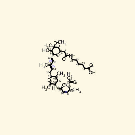 CO[C@@]1(C)C[C@@H](CC(=O)NCCCCCC(=O)O)O[C@H](/C=C/C(C)=C/C[C@@H]2O[C@H](C)[C@H](NC(=O)/C=C\[C@H](C)OC(C)=O)C[C@@H]2C)[C@H]1O